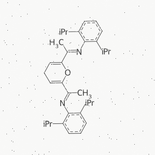 C/C(=N\c1c(C(C)C)cccc1C(C)C)C1=CCC=C(/C(C)=N/c2c(C(C)C)cccc2C(C)C)O1